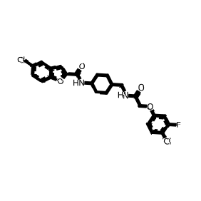 O=C(COc1ccc(Cl)c(F)c1)NCC1CCC(NC(=O)c2cc3cc(Cl)ccc3o2)CC1